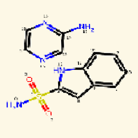 NS(=O)(=O)c1cc2ccccc2[nH]1.Nc1cnccn1